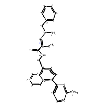 COc1cccc(-c2ccc(CNC(=O)/C(N)=C/N(N)Cc3ccccc3)c3cnccc23)c1